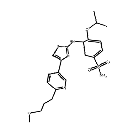 COCCCc1ccc(-c2csc(NC3CC(S(N)(=O)=O)=CC=C3OC(C)C)n2)cn1